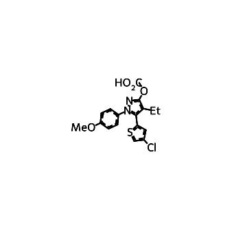 CCc1c(OC(=O)O)nn(-c2ccc(OC)cc2)c1-c1cc(Cl)cs1